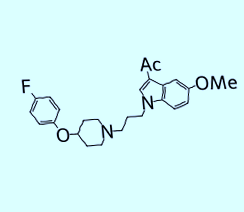 COc1ccc2c(c1)c(C(C)=O)cn2CCCN1CCC(Oc2ccc(F)cc2)CC1